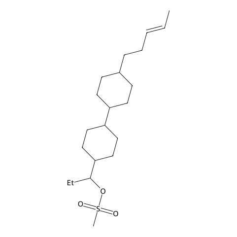 C/C=C/CCC1CCC(C2CCC(C(CC)OS(C)(=O)=O)CC2)CC1